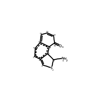 NC1SC=c2ccc3c(c21)C(=O)C=CC=3